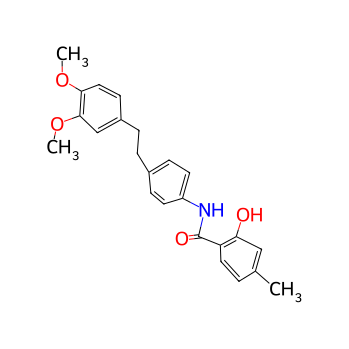 COc1ccc(CCc2ccc(NC(=O)c3ccc(C)cc3O)cc2)cc1OC